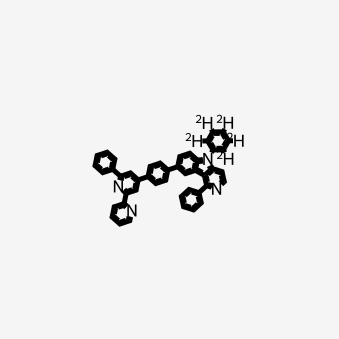 [2H]c1c([2H])c([2H])c(-n2c3ccc(-c4ccc(-c5cc(-c6ccccc6)nc(-c6ccccn6)c5)cc4)cc3c3c(-c4ccccc4)nccc32)c([2H])c1[2H]